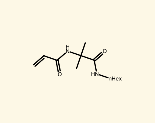 C=CC(=O)NC(C)(C)C(=O)NCCCCCC